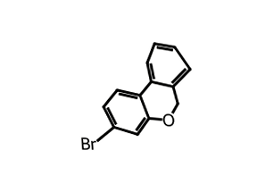 Brc1ccc2c(c1)OCc1ccccc1-2